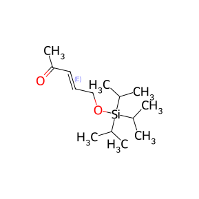 CC(=O)/C=C/CO[Si](C(C)C)(C(C)C)C(C)C